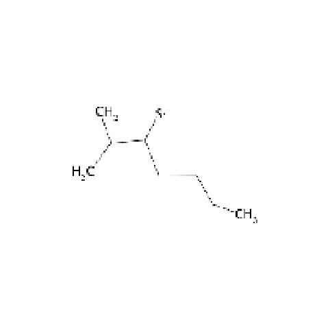 CCCCC([S])C(C)C